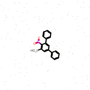 O=I(=O)c1c(-c2ccccc2)cc(-c2ccccc2)cc1S(=O)(=O)O